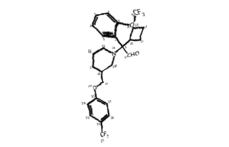 O=CC(c1ccccc1OC(F)(F)F)(C1CCC1)N1CCCC(COc2ccc(C(F)(F)F)cc2)C1